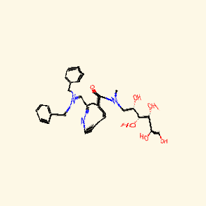 CN(C[C@H](O)[C@@H](O)[C@H](O)[C@H](O)CO)C(=O)c1cccnc1CN(Cc1ccccc1)Cc1ccccc1